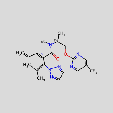 C=C/C=C(/C(=O)N(CC)[C@@H](C)COc1ncc(C(F)(F)F)cn1)C(=C(C)C)n1nccn1